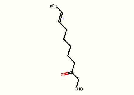 CCCC/C=C/CCCCCC(=O)C[C]=O